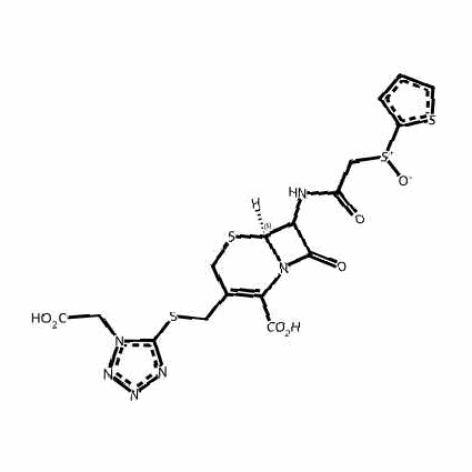 O=C(O)Cn1nnnc1SCC1=C(C(=O)O)N2C(=O)C(NC(=O)C[S+]([O-])c3cccs3)[C@@H]2SC1